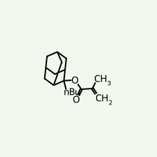 C=C(C)C(=O)OC1(CCCC)C2CC3CC(C2)CC1C3